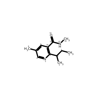 CCC(C)c1ncc(C)cc1C(=O)NC